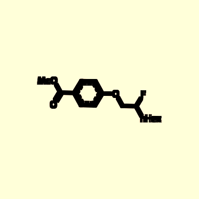 CCCCCCC(F)COc1ccc(C(=O)OC)cc1